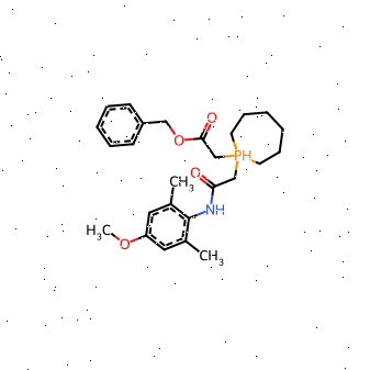 COc1cc(C)c(NC(=O)C[PH]2(CC(=O)OCc3ccccc3)CCCCCC2)c(C)c1